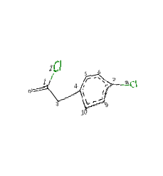 C=C(Cl)Cc1ccc(Cl)cc1